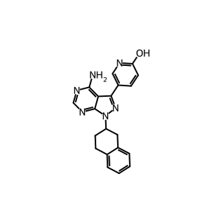 Nc1ncnc2c1c(-c1ccc(O)nc1)nn2C1CCc2ccccc2C1